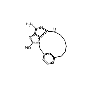 Nc1nc2cc3c1nc(O)n3Cc1cccc(c1)CCCCCN2